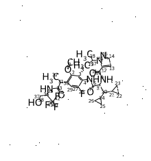 COc1cc(NC(=O)[C@@H](NC(=O)c2ccnn2C(C)C)C(C2CC2)C2CC2)c(F)cc1C(C)C(=O)NC(CO)C(F)(F)F